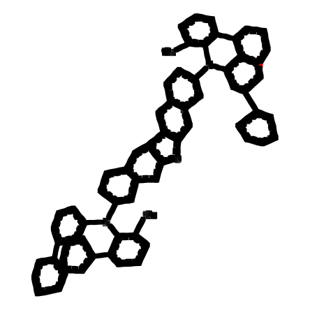 CC(C)(C)c1cccc(-c2ccccc2)c1N(c1cccc(-c2ccccc2)c1)c1ccc2cc3c(cc2c1)oc1cc2cc(N(c4cccc(-c5ccccc5)c4)c4c(-c5ccccc5)cccc4C(C)(C)C)ccc2cc13